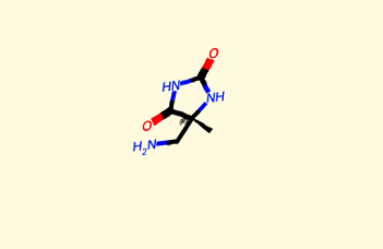 C[C@]1(CN)NC(=O)NC1=O